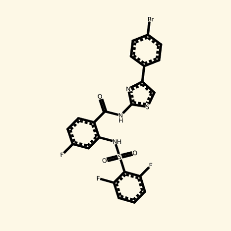 O=C(Nc1nc(-c2ccc(Br)cc2)cs1)c1ccc(F)cc1NS(=O)(=O)c1c(F)cccc1F